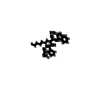 CCCCCCC[C@H](NC(=O)N1CCC[C@H]1C(N)=O)C(=O)N[C@H]1c2ccccc2C[C@H]1O